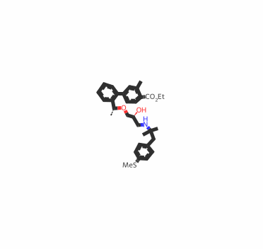 CCOC(=O)c1ccc(-c2ccccc2[C@@H](C)OC[C@H](O)CNC(C)(C)Cc2ccc(SC)cc2)cc1C